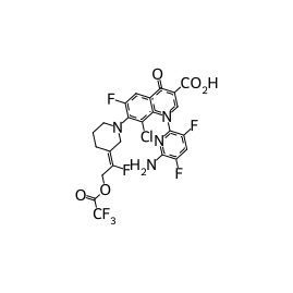 Nc1nc(-n2cc(C(=O)O)c(=O)c3cc(F)c(N4CCC/C(=C(/F)COC(=O)C(F)(F)F)C4)c(Cl)c32)c(F)cc1F